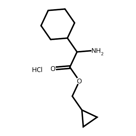 Cl.NC(C(=O)OCC1CC1)C1CCCCC1